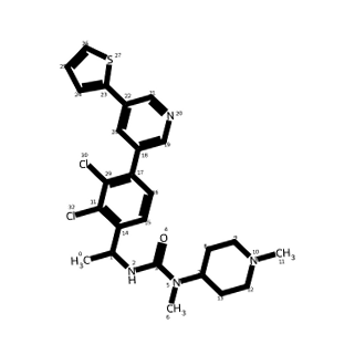 CC(NC(=O)N(C)C1CCN(C)CC1)c1ccc(-c2cncc(-c3cccs3)c2)c(Cl)c1Cl